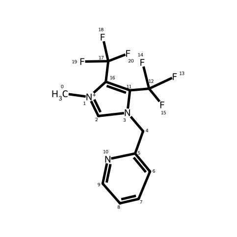 C[n+]1cn(Cc2ccccn2)c(C(F)(F)F)c1C(F)(F)F